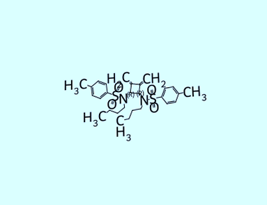 C=C1C(=C)[C@@H](N(CCCC)S(=O)(=O)c2ccc(C)cc2)[C@@H]1N(CCCC)S(=O)(=O)c1ccc(C)cc1